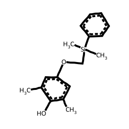 Cc1cc(OC[Si](C)(C)c2ccccc2)cc(C)c1O